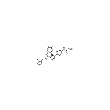 CNC(=O)Nc1ccc(-c2cnc3c(NCc4ccnn4C)nc4cc(C)c(C)cc4n23)cc1